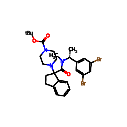 C[C@H](c1cc(Br)cc(Br)c1)N(C)C(=O)C1(N2CCN(C(=O)OC(C)(C)C)CC2)CCc2ccccc21